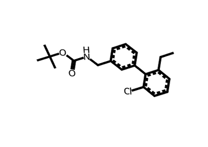 CCc1cccc(Cl)c1-c1cccc(CNC(=O)OC(C)(C)C)c1